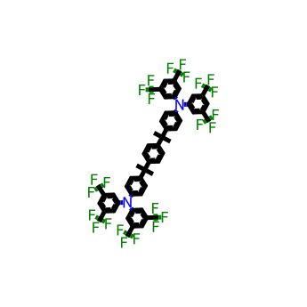 CC(C)(c1ccc(N(c2cc(C(F)(F)F)cc(C(F)(F)F)c2)c2cc(C(F)(F)F)cc(C(F)(F)F)c2)cc1)c1ccc(C(C)(C)c2ccc(N(c3cc(C(F)(F)F)cc(C(F)(F)F)c3)c3cc(C(F)(F)F)cc(C(F)(F)F)c3)cc2)cc1